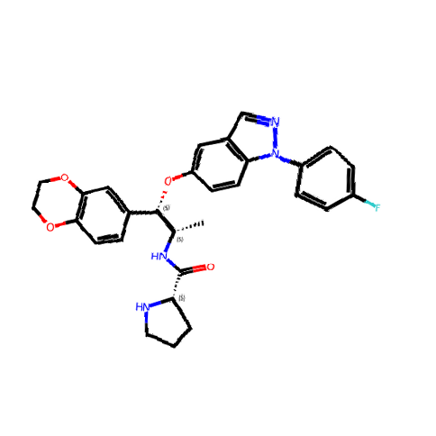 C[C@H](NC(=O)[C@@H]1CCCN1)[C@@H](Oc1ccc2c(cnn2-c2ccc(F)cc2)c1)c1ccc2c(c1)OCCO2